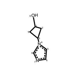 OC1CC(n2ccnc2)C1